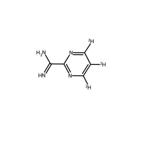 [2H]c1nc(C(=N)N)nc([2H])c1[2H]